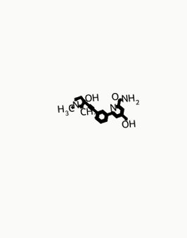 C=C1N(C)CC[C@@]1(O)C#Cc1cccc(-c2cc(CO)cc(C(N)=O)n2)c1